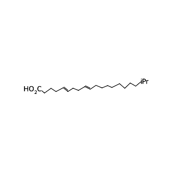 CC(C)CCCCCCCCC=CCCC=CCCCC(=O)O